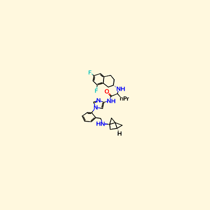 CCCC(N[C@H]1CCc2cc(F)cc(F)c2C1)C(=O)Nc1cn(-c2ccccc2CN[C@]23C[C@@H]4CC42C3)cn1